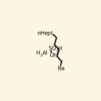 CCCCCCCCCCC[CH2][Na].O=S(=O)(O)O.[AlH3]